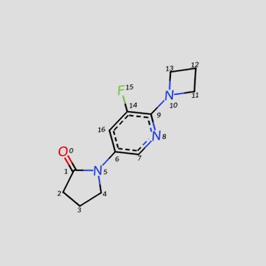 O=C1CCCN1c1cnc(N2CCC2)c(F)c1